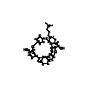 CN(C)CCCN1CCc2cc(O)c3c4c2C1Cc1ccc(cc1)Oc1cc(ccc1O)CC1c2cc(c(cc2CCN1C)O3)O4